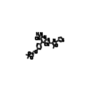 [C-]#[N+]c1c(N)nc(SCc2nc(-c3ccsc3)oc2C)c(C#N)c1-c1ccc(OC[C@@H]2COC(C)(C)O2)cc1